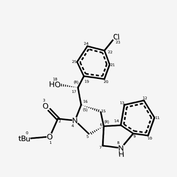 CC(C)(C)OC(=O)N1C[C@]2(CNc3ccccc32)C[C@H]1[C@H](O)c1ccc(Cl)cc1